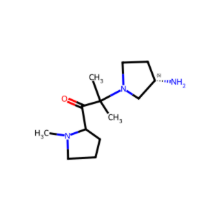 CN1CCCC1C(=O)C(C)(C)N1CC[C@H](N)C1